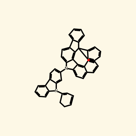 C1=CCCC(n2c3ccccc3c3ccc(-n4c5ccc6c7c5c5c8c(cccc8ccc54)C7(c4ccccc4)c4ccccc4-6)cc32)=C1